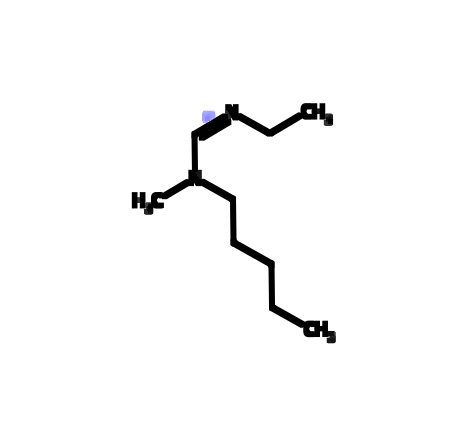 CCCCCN(C)/C=N\CC